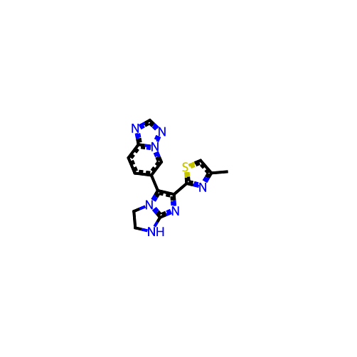 Cc1csc(-c2nc3n(c2-c2ccc4ncnn4c2)CCN3)n1